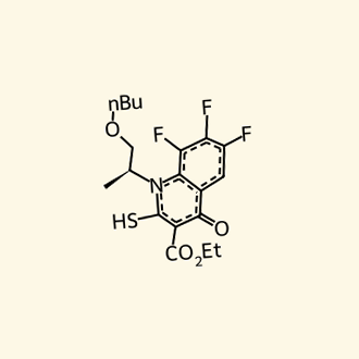 CCCCOC[C@H](C)n1c(S)c(C(=O)OCC)c(=O)c2cc(F)c(F)c(F)c21